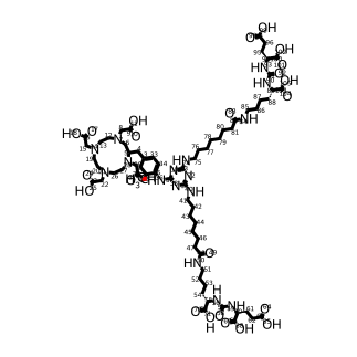 CC1CC(CC2CN(CC(=O)O)CCN(CC(=O)O)CCN(CC(=O)O)CCN2CC(=O)O)=CC=C1Nc1nc(NCCCCCCCC(=O)NCCCC[C@H](NC(=O)N[C@@H](CCC(=O)O)C(=O)O)C(=O)O)nc(NCCCCCCCC(=O)NCCCC[C@H](NC(=O)N[C@@H](CCC(=O)O)C(=O)O)C(=O)O)n1